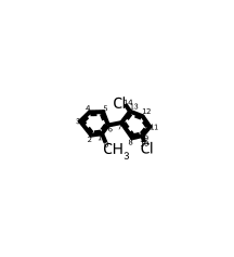 Cc1ccccc1-c1cc(Cl)ccc1Cl